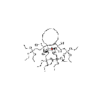 CCO[Si](CCS(S)(SS)/C1=C(\S(S)(CC[Si](OCC)(OCC)OCC)SS)C(S(S)(CC[Si](OCC)(OCC)OCC)SS)(S(S)(CC[Si](OCC)(OCC)OCC)SS)CCCCCCCCC1)(OCC)OCC